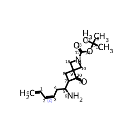 C=C/C=C\CC(N)C1CC2(CN(C(=O)OC(C)(C)C)C2)C1=O